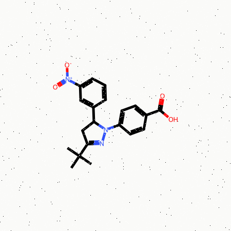 CC(C)(C)C1=NN(c2ccc(C(=O)O)cc2)C(c2cccc([N+](=O)[O-])c2)C1